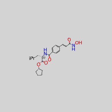 CC(C)C[C@H](NC(=O)c1ccc(C=CC(=O)NO)cc1)C(=O)OC1CCCC1